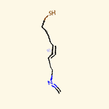 C=NC/C=C/CS